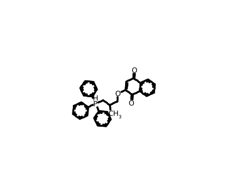 CC(COC1=CC(=O)c2ccccc2C1=O)C[PH](c1ccccc1)(c1ccccc1)c1ccccc1